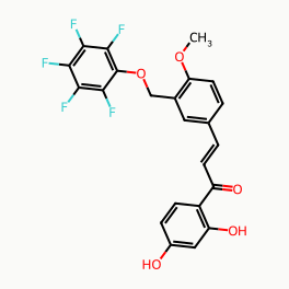 COc1ccc(/C=C/C(=O)c2ccc(O)cc2O)cc1COc1c(F)c(F)c(F)c(F)c1F